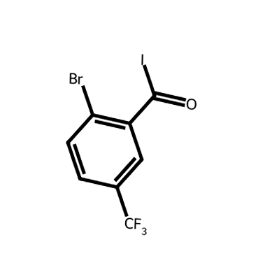 O=C(I)c1cc(C(F)(F)F)ccc1Br